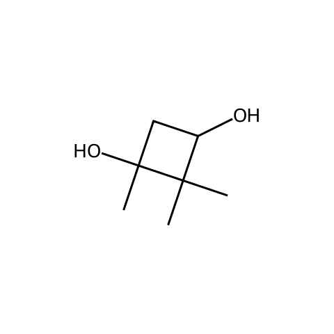 CC1(O)CC(O)C1(C)C